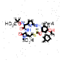 C=C(C)[C@@H]1CCC(C)=C[C@H]1c1c(O)cc(CCCCC)cc1OC(=S)SC/C=C1\[C@H](NC(=O)/C(=N\OC(C)(C)C(=O)O)C2=CCC(N)=N2)C(=O)N1S(=O)(=O)O